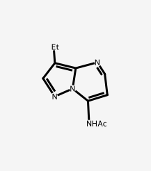 CCc1cnn2c(NC(C)=O)ccnc12